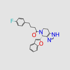 O=C(CCCc1ccc(F)cc1)N1CCc2[nH]cnc2[C@@H]1c1cc2ccccc2o1